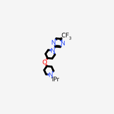 CC(C)N1CCC(OC2CCN(c3cnc(C(F)(F)F)cn3)CC2)CC1